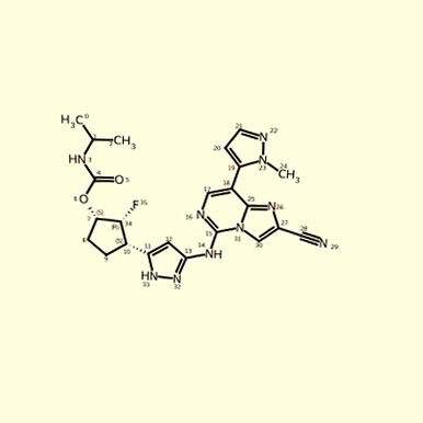 CC(C)NC(=O)O[C@H]1CC[C@@H](c2cc(Nc3ncc(-c4ccnn4C)c4nc(C#N)cn34)n[nH]2)[C@H]1F